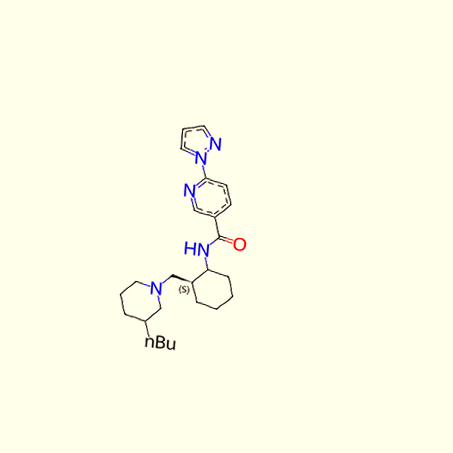 CCCCC1CCCN(C[C@@H]2CCCCC2NC(=O)c2ccc(-n3cccn3)nc2)C1